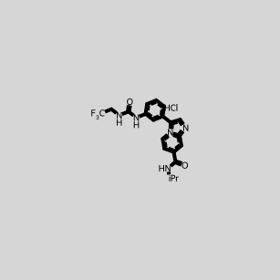 CC(C)NC(=O)c1ccn2c(-c3cccc(NC(=O)NCC(F)(F)F)c3)cnc2c1.Cl